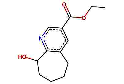 CCOC(=O)c1cnc2c(c1)CCCCC2O